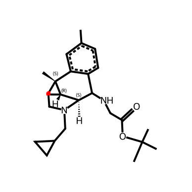 Cc1ccc2c(c1)[C@@]1(C)CCN(CC3CC3)[C@H](C2NCC(=O)OC(C)(C)C)[C@@H]1C